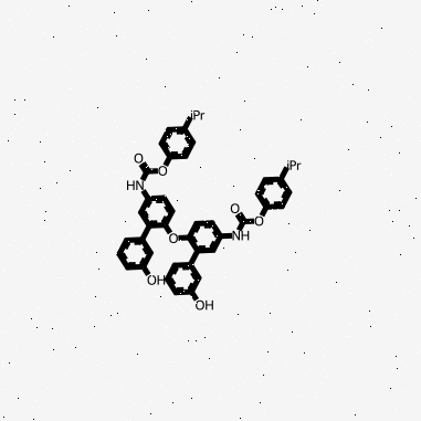 CC(C)c1ccc(OC(=O)Nc2ccc(Oc3ccc(NC(=O)Oc4ccc(C(C)C)cc4)cc3-c3cccc(O)c3)c(-c3cccc(O)c3)c2)cc1